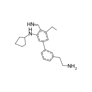 CCc1cc(-c2cccc(CCN)c2)cc(NC2CCCC2)c1C=N